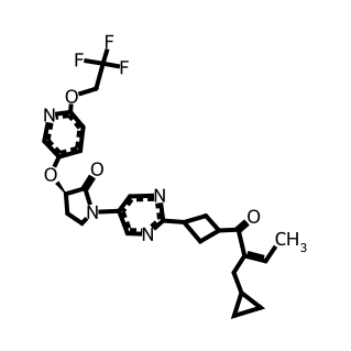 C/C=C(/CC1CC1)C(=O)C1CC(c2ncc(N3CC[C@@H](Oc4ccc(OCC(F)(F)F)nc4)C3=O)cn2)C1